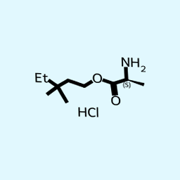 CCC(C)(C)CCOC(=O)[C@H](C)N.Cl